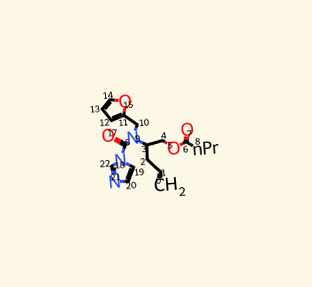 C=CCC(COC(=O)CCC)N(Cc1ccco1)C(=O)n1ccnc1